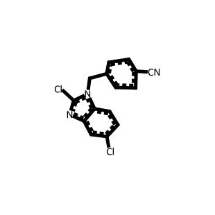 N#Cc1ccc(Cn2c(Cl)nc3cc(Cl)ccc32)cc1